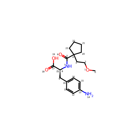 COCCC1(C(=O)N[C@@H](Cc2ccc(N)cc2)C(=O)O)CCCC1